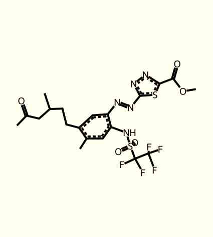 COC(=O)c1nnc(N=Nc2cc(CCC(C)CC(C)=O)c(C)cc2NS(=O)(=O)C(F)(F)C(F)(F)F)s1